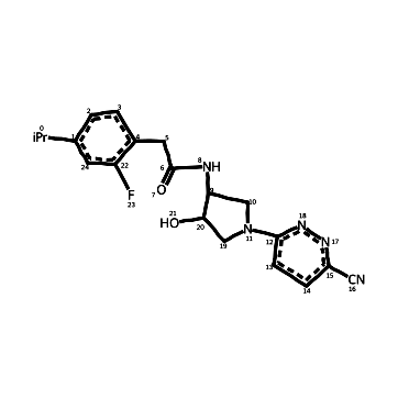 CC(C)c1ccc(CC(=O)NC2CN(c3ccc(C#N)nn3)CC2O)c(F)c1